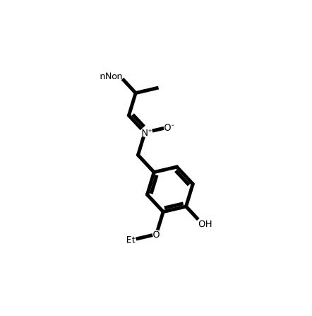 CCCCCCCCCC(C)C=[N+]([O-])Cc1ccc(O)c(OCC)c1